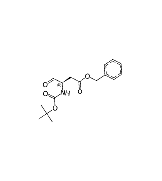 CC(C)(C)OC(=O)N[C@@H](C=O)CC(=O)OCc1ccccc1